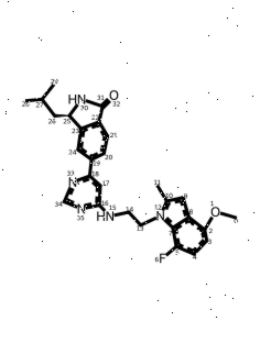 COc1ccc(F)c2c1cc(C)n2CCNc1cc(-c2ccc3c(c2)[C@@H](CC(C)C)NC3=O)ncn1